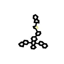 c1cc(-c2ccc3c(-c4ccc5ccccc5c4)c4ccccc4c(-c4ccc5ccccc5c4)c3c2)cc(-c2ccc(-c3ccc4ccccc4c3)s2)c1